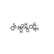 CCNc1cc(C(=O)NCC(=O)N/N=C(\C)c2csc3ccccc23)ccc1N(CC)CC